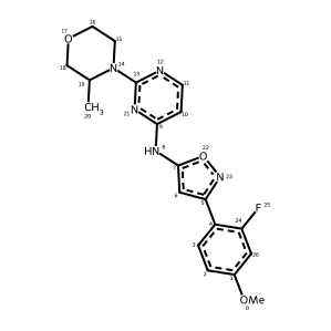 COc1ccc(-c2cc(Nc3ccnc(N4CCOCC4C)n3)on2)c(F)c1